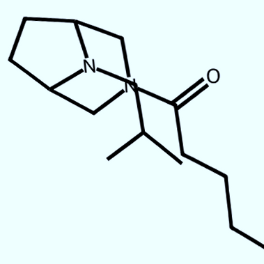 CCCCC(=O)N1CC2CCC(C1)N2CC(C)C